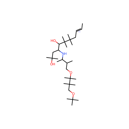 C/C=C/CC(C)(C)C(C)(C)C(O)C(CC(C)(C)O)NC(C)C(C)COC(C)(C)C(C)(C)COC(C)(C)C